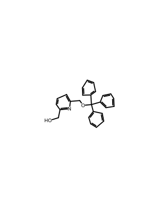 OCc1cccc(COC(c2ccccc2)(c2ccccc2)c2ccccc2)n1